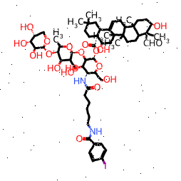 CC1O[C@@H](OC2C(O)[C@@H](NC(=O)CCCCCNC(=O)c3ccc(I)cc3)C(CO)O[C@H]2OC(=O)[C@]23CCC(C)(C)CC2C2=CCC4C5(C)CC[C@H](O)C(C)(C=O)C5CCC4(C)C2(C)CC3O)C(CO)C(O)[C@H]1O[C@@H]1OC[C@@H](O)[C@@H](O)C1O